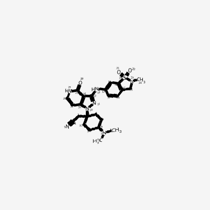 CN(C)C1CCC(CC#N)(n2nc(Nc3ccc4c(c3)S(=O)(=O)N(C)C4)c3c(=O)[nH]ccc32)CC1